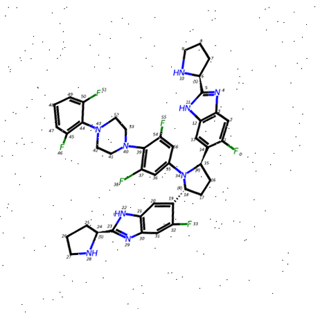 Fc1cc2nc([C@@H]3CCCN3)[nH]c2cc1[C@H]1CC[C@H](c2cc3[nH]c([C@@H]4CCCN4)nc3cc2F)N1c1cc(F)c(N2CCN(c3c(F)cccc3F)CC2)c(F)c1